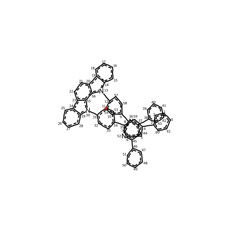 c1ccc(-c2cccc(-c3ccc(-n4c5ccccc5c5ccc6c7ccccc7n(-c7ccc(-c8nc(-c9ccccc9)cc(-c9ccccc9)n8)cc7)c6c54)cc3)c2)cc1